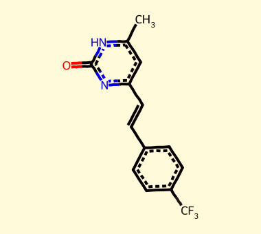 Cc1cc(C=Cc2ccc(C(F)(F)F)cc2)nc(=O)[nH]1